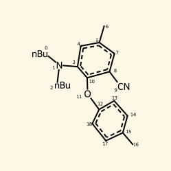 CCCCN(CCCC)c1cc(C)cc(C#N)c1Oc1ccc(C)cc1